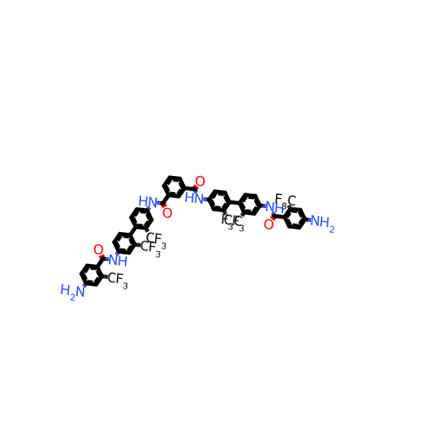 Nc1ccc(C(=O)Nc2ccc(-c3ccc(NC(=O)c4cccc(C(=O)Nc5ccc(-c6ccc(NC(=O)c7ccc(N)cc7C(F)(F)F)cc6C(F)(F)F)c(C(F)(F)F)c5)c4)cc3C(F)(F)F)c(C(F)(F)F)c2)c(C(F)(F)F)c1